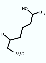 CCOC(=O)CC(CC)CCCC(C)O